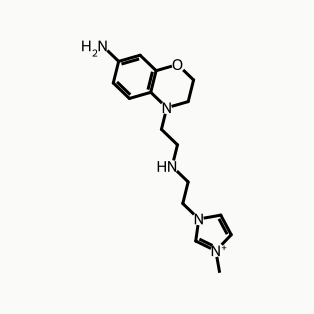 C[n+]1ccn(CCNCCN2CCOc3cc(N)ccc32)c1